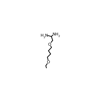 CCOCCCCOCC(N)N